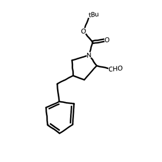 CC(C)(C)OC(=O)N1CC(Cc2ccccc2)CC1C=O